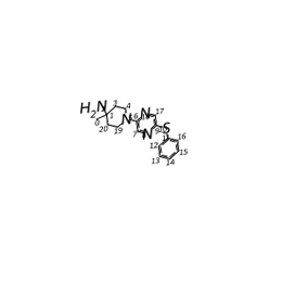 CC1(N)CCN(c2cnc(Sc3ccccc3)cn2)CC1